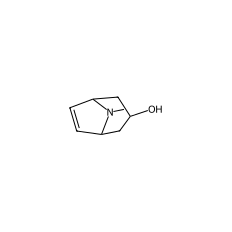 CN1C2C=CC1CC(O)C2